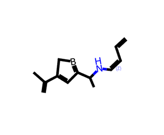 C=C/C=C\NC(C)C1=BCC(C(=C)C)=C1